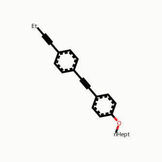 CCC#Cc1ccc(C#Cc2ccc(OCCCCCCC)cc2)cc1